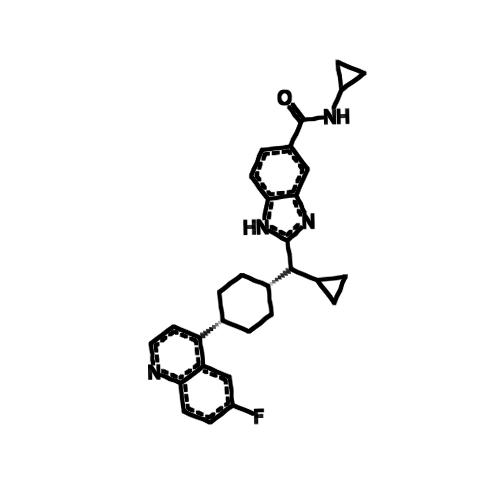 O=C(NC1CC1)c1ccc2[nH]c(C(C3CC3)[C@H]3CC[C@@H](c4ccnc5ccc(F)cc54)CC3)nc2c1